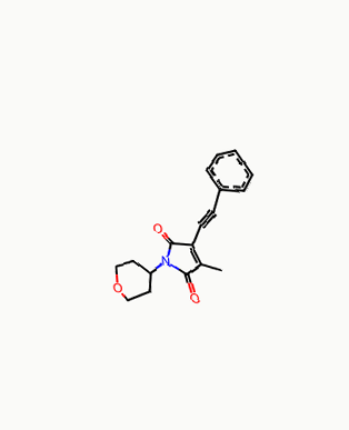 CC1=C(C#Cc2ccccc2)C(=O)N(C2CCOCC2)C1=O